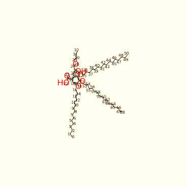 CCCCCCCCCCCCCCCCOc1cc(C(=O)O)c(CC(O)COCCCC)c(OCCCCCCCCCCCCCCCC)c1OCCCCCCCCCCCCCCCC